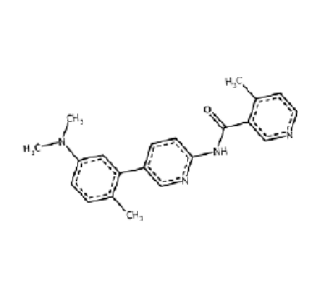 Cc1ccncc1C(=O)Nc1ccc(-c2cc(N(C)C)ccc2C)cn1